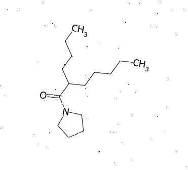 CCCCCC(CCCC)C(=O)N1CCCC1